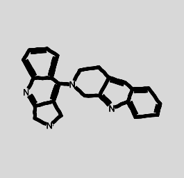 c1ccc2nc3c(cc2c1)CCN(c1c2c(nc4ccccc14)C[N]C2)C3